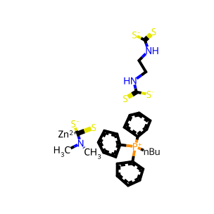 CCCC[P+](c1ccccc1)(c1ccccc1)c1ccccc1.CN(C)C(=S)[S-].S=C([S-])NCCNC(=S)[S-].[Zn+2]